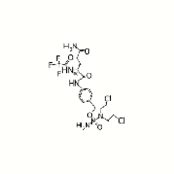 NC(=O)CC[C@H](NC(=O)C(F)(F)F)C(=O)Nc1ccc(COP(N)(=O)N(CCCl)CCCl)cc1